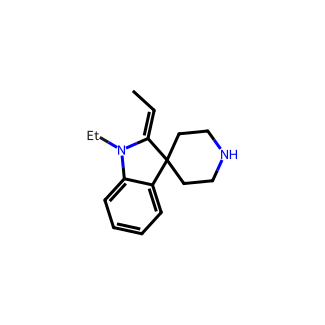 C/C=C1\N(CC)c2ccccc2C12CCNCC2